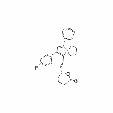 O=C1CCCC(C=CC2=C(c3ccc(F)cc3)C=C(c3ccccc3)C23CCCC3)O1